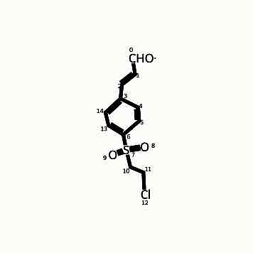 O=[C]C=Cc1ccc(S(=O)(=O)CCCl)cc1